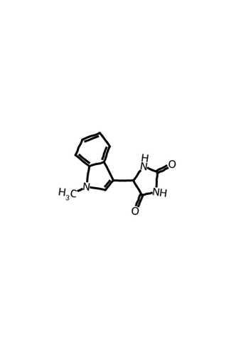 Cn1cc(C2NC(=O)NC2=O)c2ccccc21